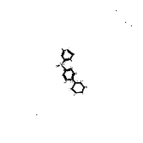 CN(c1ccccc1)c1ccc(C2CCCCC2)cc1